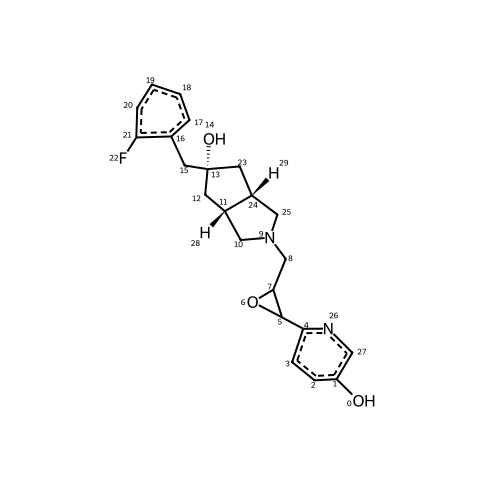 Oc1ccc(C2OC2CN2C[C@@H]3C[C@@](O)(Cc4ccccc4F)C[C@@H]3C2)nc1